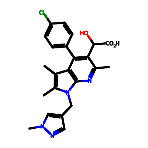 Cc1nc2c(c(C)c(C)n2Cc2cnn(C)c2)c(-c2ccc(Cl)cc2)c1C(O)C(=O)O